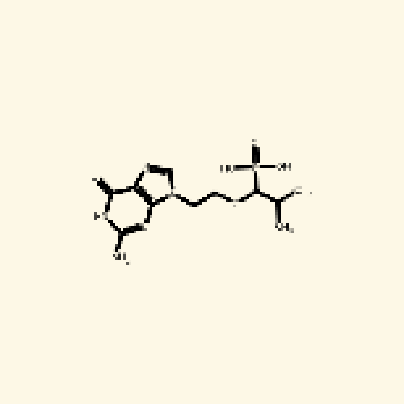 CC(C)C(OCCn1cnc2c(=O)[nH]c(N)nc21)P(=O)(O)O